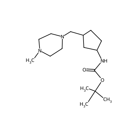 CN1CCN(CC2CCC(NC(=O)OC(C)(C)C)C2)CC1